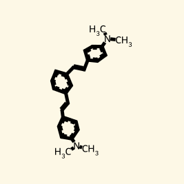 CN(C)c1ccc(C=Cc2cccc(C=Cc3ccc(N(C)C)cc3)c2)cc1